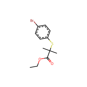 CCOC(=O)C(C)(C)Sc1ccc(Br)cc1